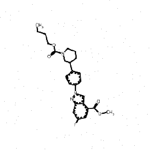 CCCCOC(=O)N1CCCC(c2ccc(-n3cc4c(C(=O)OC)cc(F)cc4n3)cc2)C1